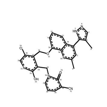 Cc1cc(-c2[nH]ncc2C)c2cccc(OCc3c(Cl)cnc(O)c3Cn3cccc(C#N)c3=O)c2n1